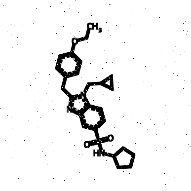 CCOc1ccc(Cc2nc3cc(S(=O)(=O)NC4CCCC4)ccc3n2CC2CC2)cc1